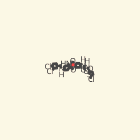 O=C(Nc1ccc(-n2c(=O)[nH]c3cc(NCc4ccc(Cl)c(Cl)c4)ccc3c2=O)cc1)NS(=O)(=O)c1ccc(Cl)s1